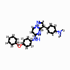 CN(C)c1ccc(-c2cnn3ccc(Nc4ccc(Oc5ccccc5)cc4)nc23)cc1